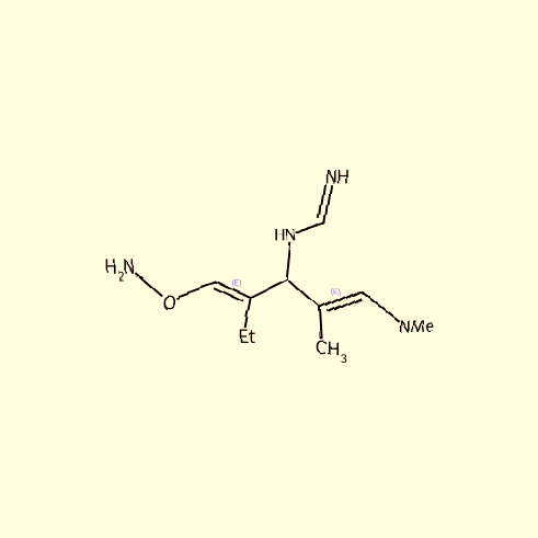 CC/C(=C\ON)C(NC=N)/C(C)=C/NC